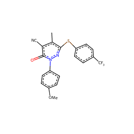 COc1ccc(-n2nc(Sc3ccc(C(F)(F)F)cc3)c(C)c(C#N)c2=O)cc1